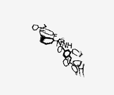 CCC(OCc1cccc(-c2csc(NC(=O)c3cc(Cl)c(C=C(C)C(=O)O)c(Cl)c3)n2)c1F)C1CCCCC1